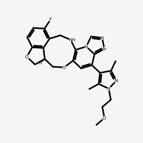 COCCn1nc(C)c(-c2cc3c(n4cnnc24)NCc2c(F)ccc4c2[C@H](CO4)CO3)c1C